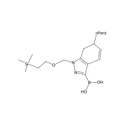 CCCCCC1C=Cc2c(B(O)O)nn(COCC[Si](C)(C)C)c2C1